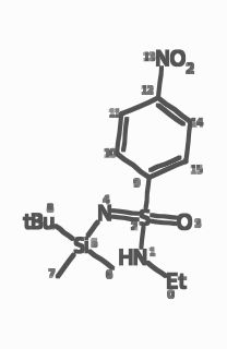 CCNS(=O)(=N[Si](C)(C)C(C)(C)C)c1ccc([N+](=O)[O-])cc1